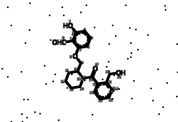 O=Cc1c(O)cccc1OCC1CCCCN1C(=O)c1cccnc1CO